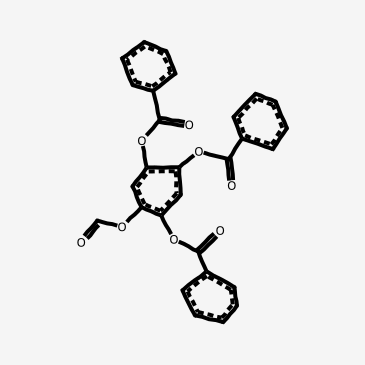 O=COc1cc(OC(=O)c2ccccc2)c(OC(=O)c2ccccc2)cc1OC(=O)c1ccccc1